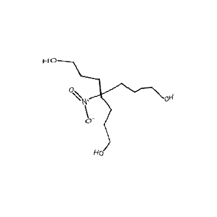 O=[N+]([O-])C(CCCO)(CCCO)CCCO